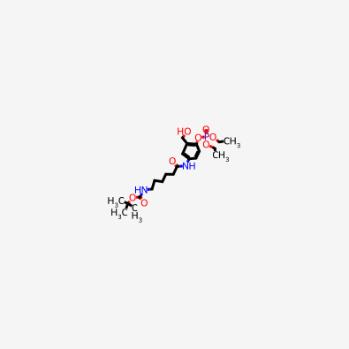 CCOP(=O)(OCC)Oc1ccc(NC(=O)CCCCCNC(=O)OC(C)(C)C)cc1CO